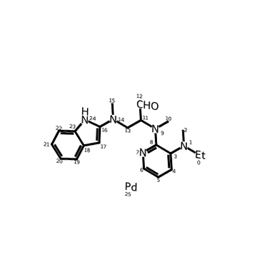 CCN(C)c1cccnc1N(C)C(C=O)CN(C)c1cc2ccccc2[nH]1.[Pd]